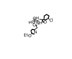 CCOc1ccc(CC(=O)N[C@@H](Cc2coc3c(Cl)cccc23)B(O)O)nc1